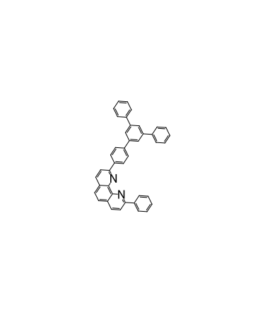 c1ccc(-c2cc(-c3ccccc3)cc(-c3ccc(-c4ccc5ccc6ccc(-c7ccccc7)nc6c5n4)cc3)c2)cc1